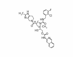 Cc1nc2c([nH]1)CCN(C(=O)CC[C@](C)(C(S)COC(=O)Nc1cc3ccccc3cn1)N(C)C(=O)NCc1cccc(F)c1Cl)C2